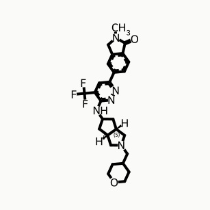 CN1Cc2cc(-c3cc(C(F)(F)F)c(NC4C[C@@H]5CN(CC6CCOCC6)C[C@@H]5C4)nn3)ccc2C1=O